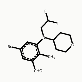 Cc1c(C=O)cc(Br)cc1N(CC(F)F)C1CCOCC1